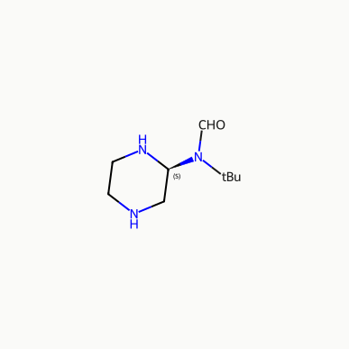 CC(C)(C)N(C=O)[C@H]1CNCCN1